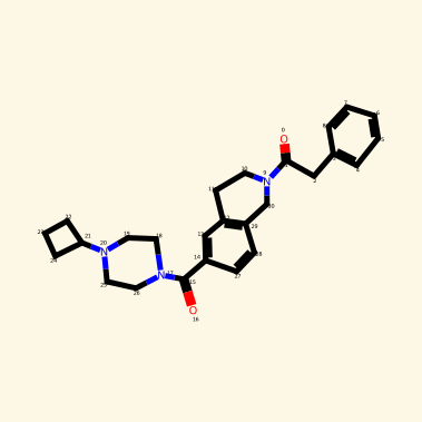 O=C(Cc1ccccc1)N1CCc2cc(C(=O)N3CCN(C4CCC4)CC3)ccc2C1